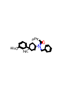 CCCC(=O)N(Cc1ccccc1)[C@H]1CC[C@@](C#N)(c2cccc(OC)c2)CC1